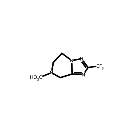 O=C(O)N1CCn2nc(C(F)(F)F)nc2C1